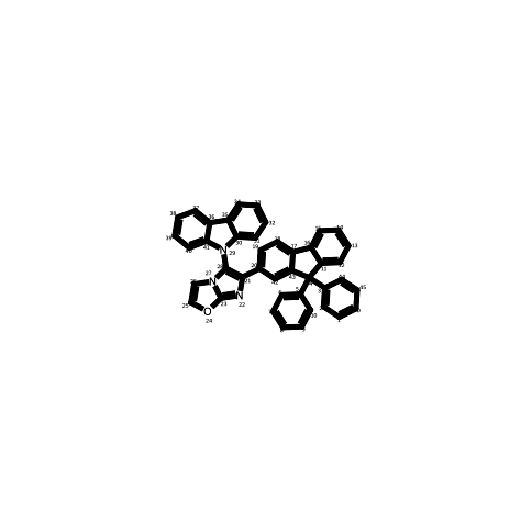 c1ccc(C2(c3ccccc3)c3ccccc3-c3ccc(-c4nc5occn5c4-n4c5ccccc5c5ccccc54)cc32)cc1